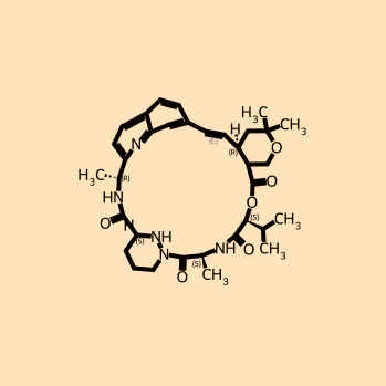 CC(C)[C@@H]1OC(=O)C2COC(C)(C)C[C@@H]2/C=C/c2ccc3ccc(nc3c2)[C@@H](C)NC(=O)[C@@H]2CCCN(N2)C(=O)[C@H](C)NC1=O